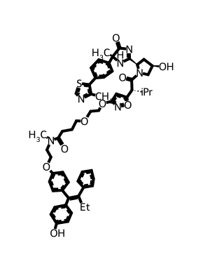 CC/C(=C(\c1ccc(O)cc1)c1ccc(OCCN(C)C(=O)CCCOCCOc2cc([C@H](C(=O)N3C[C@H](O)C[C@@H]3C3=NC(=O)[C@@](C)(c4ccc(-c5scnc5C)cc4)N3)C(C)C)on2)cc1)c1ccccc1